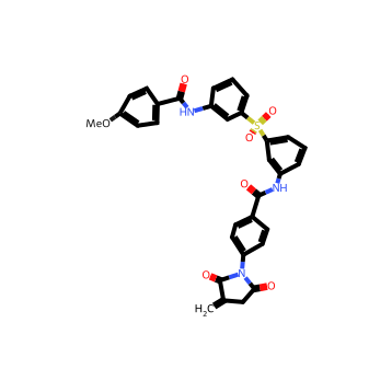 C=C1CC(=O)N(c2ccc(C(=O)Nc3cccc(S(=O)(=O)c4cccc(NC(=O)c5ccc(OC)cc5)c4)c3)cc2)C1=O